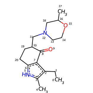 CCc1c(C)[nH]c2c1C(=O)C(CN1CCOC(C)C1)CC2